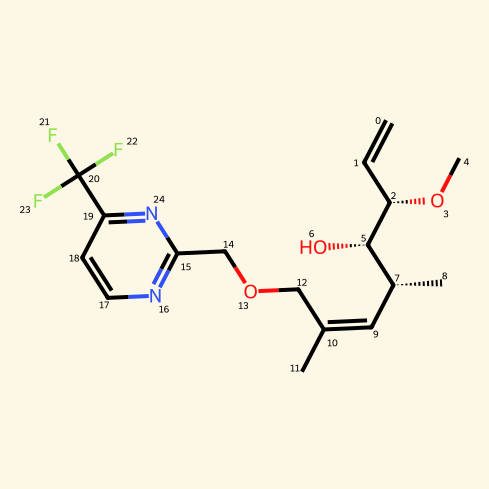 C=C[C@H](OC)[C@@H](O)[C@H](C)/C=C(/C)COCc1nccc(C(F)(F)F)n1